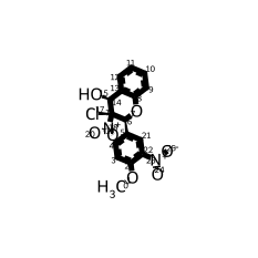 COc1ccc([C@@H]2Oc3ccccc3[C@H](O)[C@@]2(Cl)[N+](=O)[O-])cc1[N+](=O)[O-]